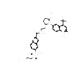 CCCS(=O)(=O)Nc1ccc2sc(C(=O)NCC[C@H]3CC[C@@H](C)N3c3ccc4[nH]c(=O)cc(C(F)(F)F)c4c3)cc2c1